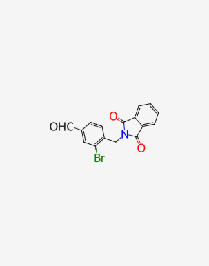 O=Cc1ccc(CN2C(=O)c3ccccc3C2=O)c(Br)c1